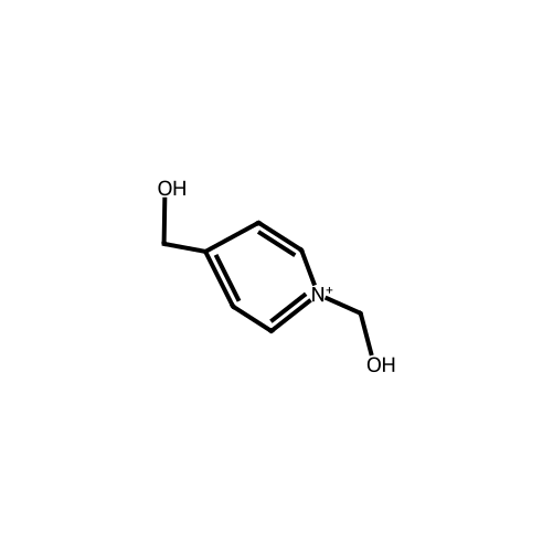 OCc1cc[n+](CO)cc1